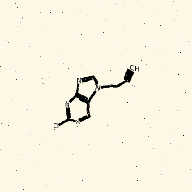 C#CCn1cnc2nc(Cl)ncc21